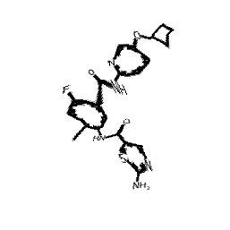 Cc1cc(F)c(C(=O)Nc2ccc(OC3CCC3)cn2)cc1NC(=O)c1cnc(N)s1